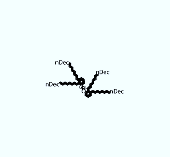 CCCCCCCCCCCCCCCCCCc1cccc(OPOc2cccc(CCCCCCCCCCCCCCCCCC)c2CCCCCCCCCCCCCCCCCC)c1CCCCCCCCCCCCCCCCCC